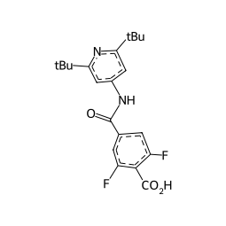 CC(C)(C)c1cc(NC(=O)c2cc(F)c(C(=O)O)c(F)c2)cc(C(C)(C)C)n1